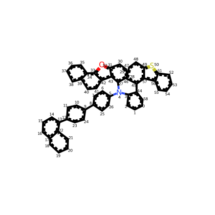 c1ccc(N(c2ccc(-c3ccc(-c4cccc5ccccc45)cc3)cc2)c2cccc3oc4c5ccccc5ccc4c23)c(-c2cccc3sc4ccccc4c23)c1